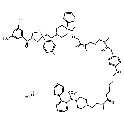 CN(CCN1CCC(N(C(=O)O)c2ccccc2-c2ccccc2)CC1)C(=O)CCCCCNc1ccc(CC(=O)N(C)CCCN(C)C(=O)CO[C@H]2Cc3ccccc3C23CCN(CC[C@@]2(c4ccc(F)cc4)CN(C(=O)c4cc(C(F)(F)F)cc(C(F)(F)F)c4)CO2)CC3)cc1.Cl.Cl.Cl